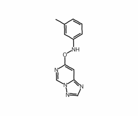 Cc1cccc(NOc2cc3ncnn3cn2)c1